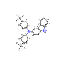 CC(C)(C)c1ccc(N(c2ccc(C(C)(C)C)cc2)c2ccc3[nH]c4ccccc4c3c2)cc1